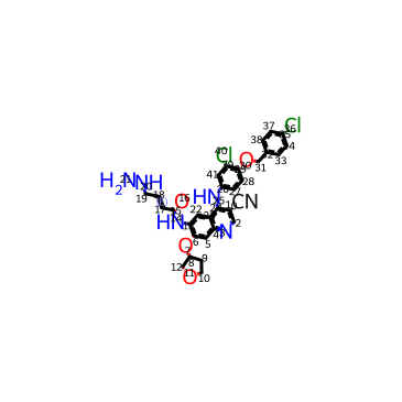 N#Cc1cnc2cc(OC3CCOC3)c(NC(=O)/C=C/CNN)cc2c1Nc1ccc(OCc2ccc(Cl)cc2)c(Cl)c1